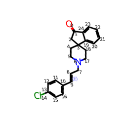 O=C1CC2(CCN(C/C=C/c3ccc(Cl)cc3)CC2)c2ccccc21